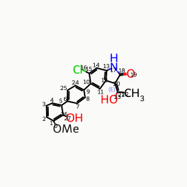 COc1cccc(-c2ccc(-c3cc4c(cc3Cl)NC(=O)/C4=C(\C)O)cc2)c1O